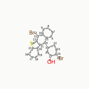 Oc1cc(-c2c3ccccc3c(Br)c3sc4ccccc4c23)ccc1Br